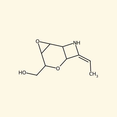 C/C=C1/NC2C1OC(CO)C1OC21